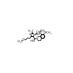 CNn1c(C)nc(CCCOC)c1C(=N)N1CCc2ccc(OC)c(OC)c2C1